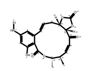 CCNc1cc(O)c2c(c1)/C=C/C[C@@H]1OC(=O)O[C@@H]1C(=O)/C=C\[C@@H](C)[C@H](C)OC2=O